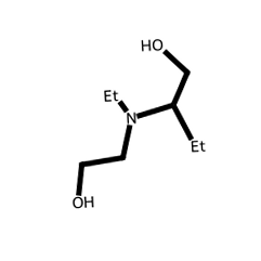 CCC(CO)N(CC)CCO